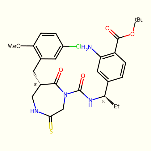 CC[C@@H](NC(=O)N1CC(=S)NC[C@H](Cc2cc(Cl)ccc2OC)C1=O)c1ccc(C(=O)OC(C)(C)C)c(N)c1